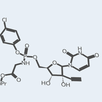 C#C[C@]1(O)C(n2ccc(=O)[nH]c2=O)O[C@H](COP(=O)(NCC(=O)OC(C)C)Oc2ccc(Cl)cc2)[C@H]1O